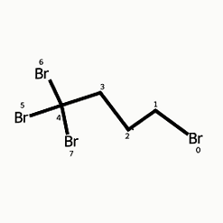 BrC[CH]CC(Br)(Br)Br